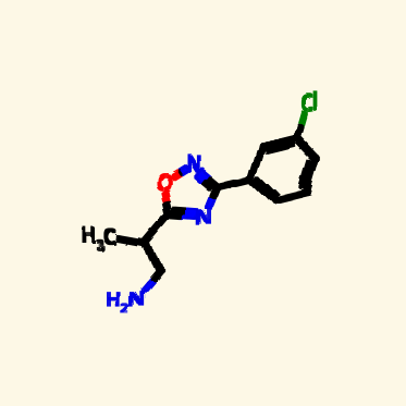 CC(CN)c1nc(-c2cccc(Cl)c2)no1